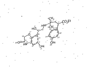 CCOC(=O)C(CC(C)(C)NCC(O)c1cc(O)cc2c1OCC(=O)N2)c1ccc(O)cc1